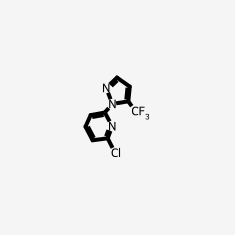 FC(F)(F)c1ccnn1-c1cccc(Cl)n1